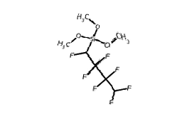 CO[Si](OC)(OC)C(F)C(F)(F)C(F)(F)C(F)F